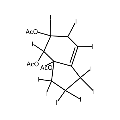 CC(=O)OC1(I)C(I)C(I)=C2C(I)(I)C(I)(I)C(I)(I)C2(OC(C)=O)C1(I)OC(C)=O